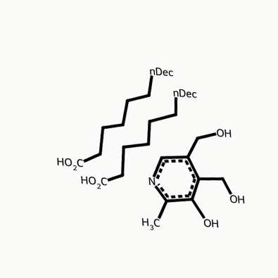 CCCCCCCCCCCCCCCC(=O)O.CCCCCCCCCCCCCCCC(=O)O.Cc1ncc(CO)c(CO)c1O